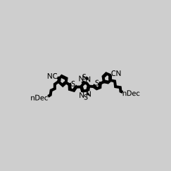 CCCCCCCCCCCCCCc1cc(-c2ccc(-c3c4c(c(-c5ccc(-c6ccc(C#N)c(CCCCCCCCCCCCCC)c6)s5)c5nsnc35)N=S=N4)s2)ccc1C#N